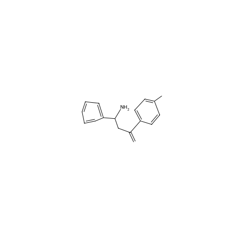 C=C(CC(N)c1ccccc1)c1ccc(C)cc1